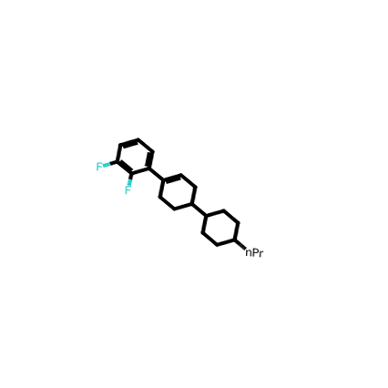 CCCC1CCC(C2CC=C(c3cccc(F)c3F)CC2)CC1